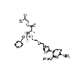 CCC(CC)COC(=O)[C@H](C)NP(=O)(OCCOCn1cnc(-c2cnc(N)nc2OC)c1)Oc1ccccc1